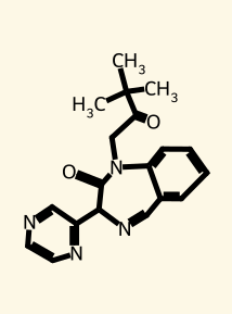 CC(C)(C)C(=O)CN1C(=O)C(c2cnccn2)N=Cc2ccccc21